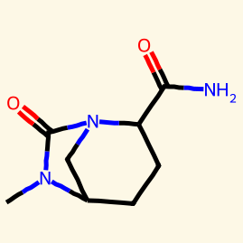 CN1C(=O)N2CC1CCC2C(N)=O